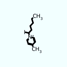 CCCCCC(I)[n+]1ccc(C)cc1